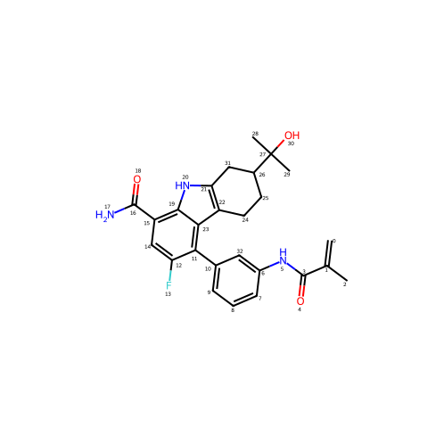 C=C(C)C(=O)Nc1cccc(-c2c(F)cc(C(N)=O)c3[nH]c4c(c23)CCC(C(C)(C)O)C4)c1